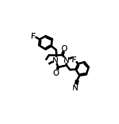 CCC1(Cc2ccc(F)cc2)C(=O)N(C)C(Cc2c(F)cccc2C#N)C(=O)N1C